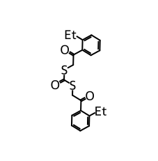 CCc1ccccc1C(=O)CSC(=O)SCC(=O)c1ccccc1CC